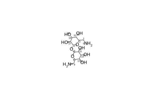 NCC1O[C@H](O[C@@H]2OC(CN)[C@H](O)C(O)C2O)C(O)C(O)[C@@H]1O